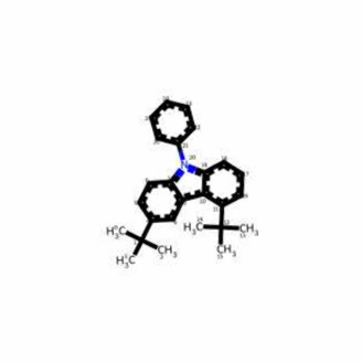 CC(C)(C)c1ccc2c(c1)c1c(C(C)(C)C)cccc1n2-c1ccccc1